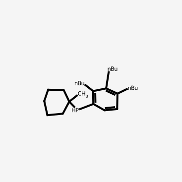 CCCCc1ccc(PC2(C)CCCCC2)c(CCCC)c1CCCC